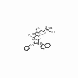 CC[C@H](C)[C@@H](CO)NC(=O)C[C@H](O)[C@H](CC(C)C)NC(=O)[C@H](CC(C)C)NC(=O)[C@H](Cc1ccnc2ccccc12)NC(=O)OCc1ccccc1